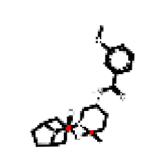 CCOC(=O)N1C2CCC1CC(N1CCC[C@@H](NC(=O)c3cccc(OC)c3)C1)C2